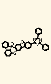 O=P1(c2ccccc2)c2ccccc2Sc2cc3c(cc21)oc1cc(-c2nc(-c4ccccc4)nc(-c4ccccc4)n2)ccc13